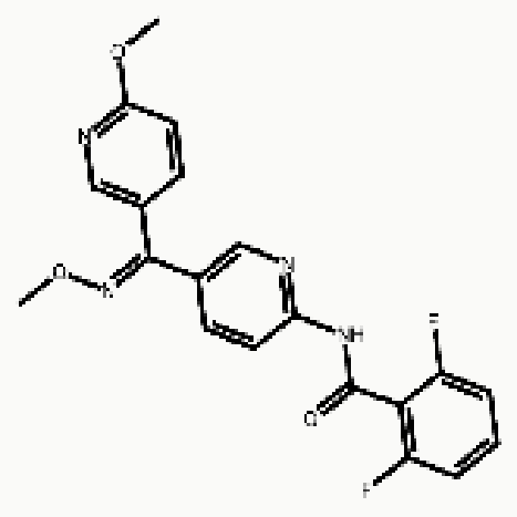 CON=C(c1ccc(NC(=O)c2c(F)cccc2F)nc1)c1ccc(OC)nc1